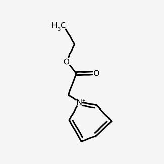 CCOC(=O)C[n+]1cc[c]cc1